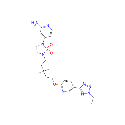 CCn1nnc(-c2ccc(OCCC(C)(C)CCN3CCN(c4ccnc(N)c4)S3(=O)=O)nc2)n1